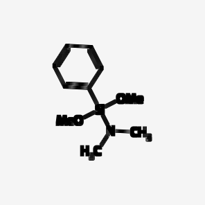 CO[Si](OC)(c1ccccc1)N(C)C